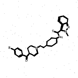 Cn1nc2ccccc2c1C(=O)NC1CCC(CCN2CCC(C(=O)c3ccc(F)cc3)CC2)CC1